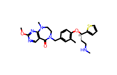 CNCC[C@H](Oc1ccc(CN2CCN(C)c3nc(OC)ncc3C2=O)cc1C)c1cccs1